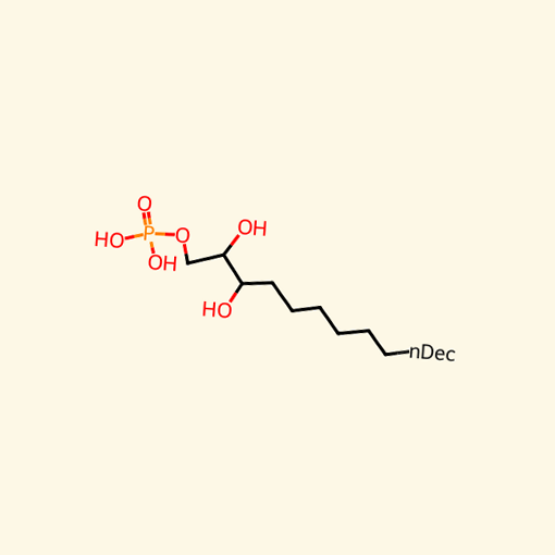 CCCCCCCCCCCCCCCCC(O)C(O)COP(=O)(O)O